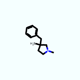 BC1(Cc2ccccc2)CCN(C)C1